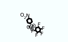 O=[N+]([O-])c1ccc(S(=O)(=O)Oc2c(F)c(F)c(F)c(F)c2F)cc1